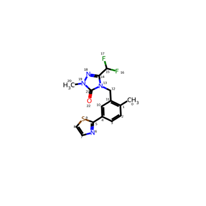 Cc1ccc(-c2nccs2)cc1Cn1c(C(F)F)nn(C)c1=O